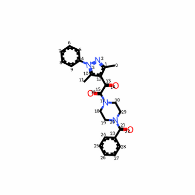 Cc1nn(-c2ccccc2)c(C)c1C(=O)C(=O)N1CCN(C(=O)c2ccccc2)CC1